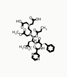 CCC(=O)OB([C@H](CC(C)C)NC(=O)[C@H](Cc1ccccc1)NC(=O)c1cnccn1)N(CCN(CC(=O)O)CC(=O)O)CC(=O)OC